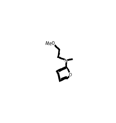 COCCN(C)c1ccco1